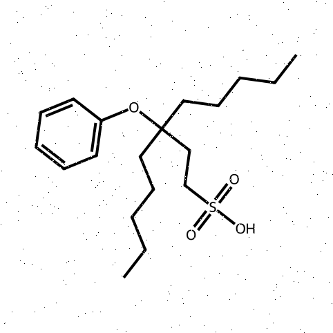 CCCCCC(CCCCC)(CCS(=O)(=O)O)Oc1ccccc1